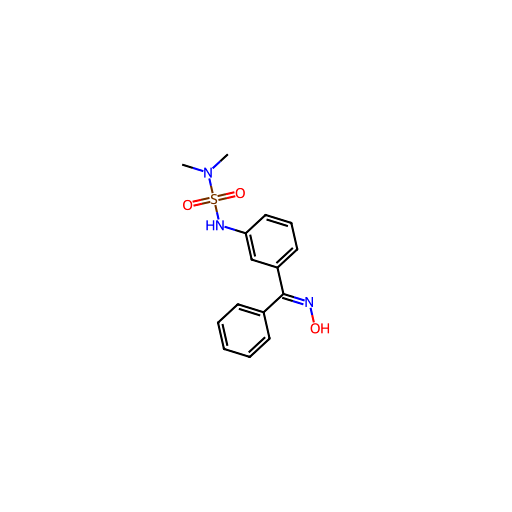 CN(C)S(=O)(=O)Nc1cccc(C(=NO)c2ccccc2)c1